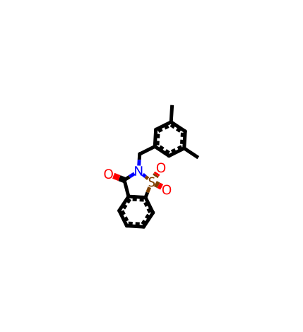 Cc1cc(C)cc(CN2C(=O)c3ccccc3S2(=O)=O)c1